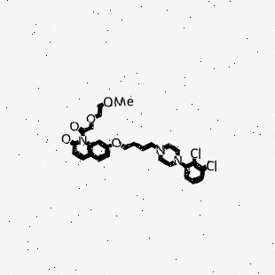 COCCOCC(=O)n1c(=O)ccc2ccc(OCCCCN3CCN(c4cccc(Cl)c4Cl)CC3)cc21